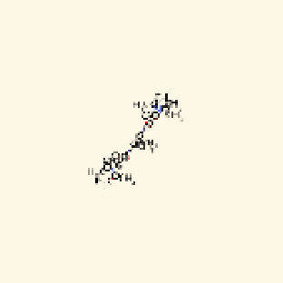 Cc1cc(C)cc(N(c2cc(C)cc(C)c2)c2ccc3c(c2)C2(CCCCC2)c2cc(/C=C/c4ccc5c(c4)C(C)(C)c4cc(/C=C/c6ccc7c(c6)C6(CCCCC6)c6cc(N(c8cc(C)cc(C)c8)c8cc(C)cc(C)c8)ccc6-7)ccc4-5)ccc2-3)c1